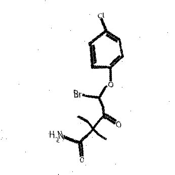 CC(C)(C(N)=O)C(=O)C(Br)Oc1ccc(Cl)cc1